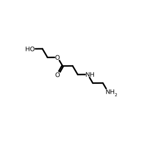 NCCNCCC(=O)OCCO